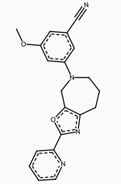 COc1cc(C#N)cc(N2CCCc3nc(-c4ccccn4)oc3C2)c1